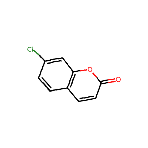 O=c1ccc2ccc(Cl)cc2o1